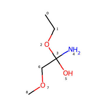 CCOC(N)(O)COC